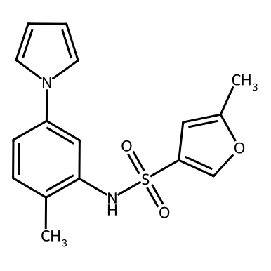 Cc1cc(S(=O)(=O)Nc2cc(-n3cccc3)ccc2C)co1